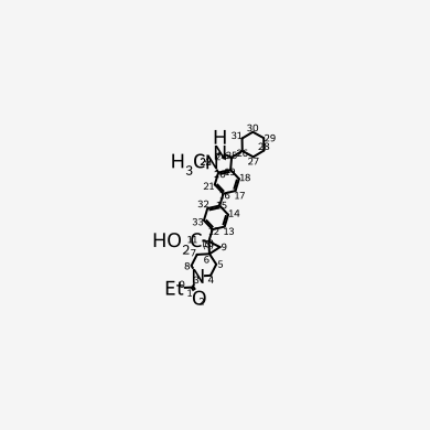 CCC(=O)N1CCC2(CC1)C[C@@]2(C(=O)O)c1ccc(-c2ccc3c(c2)N(C)NC3C2CCCCC2)cc1